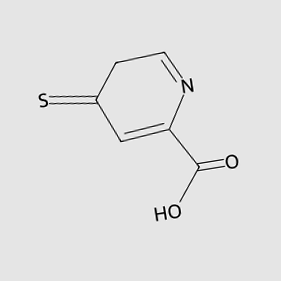 O=C(O)C1=CC(=S)CC=N1